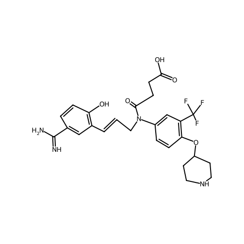 N=C(N)c1ccc(O)c(/C=C/CN(C(=O)CCC(=O)O)c2ccc(OC3CCNCC3)c(C(F)(F)F)c2)c1